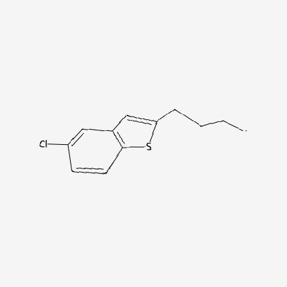 [CH2]CCCc1cc2cc(Cl)ccc2s1